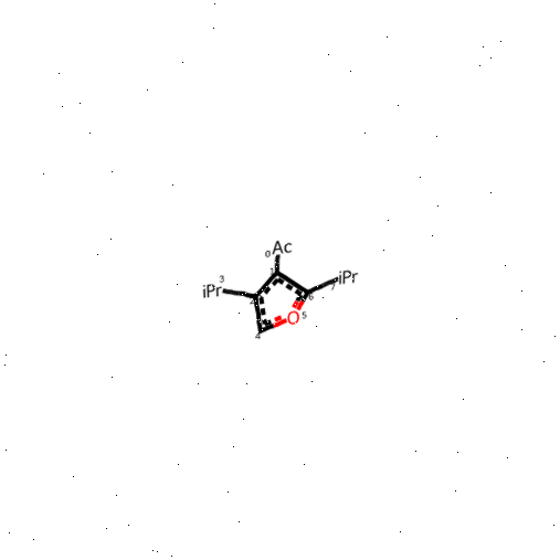 CC(=O)c1c(C(C)C)coc1C(C)C